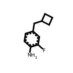 Nc1ccc(CC2CCC2)cc1F